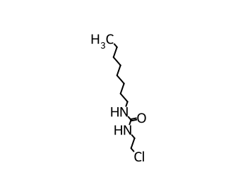 CCCCCCCCNC(=O)NCCCl